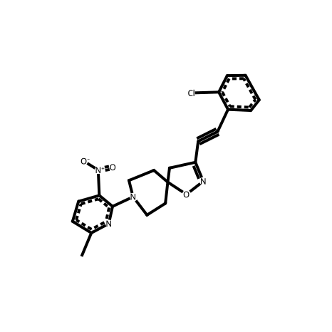 Cc1ccc([N+](=O)[O-])c(N2CCC3(CC2)CC(C#Cc2ccccc2Cl)=NO3)n1